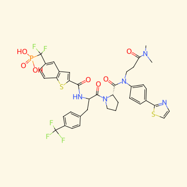 CN(C)C(=O)CCN(C(=O)[C@@H]1CCCN1C(=O)C(Cc1ccc(C(F)(F)F)cc1)NC(=O)c1cc2cc(C(F)(F)P(=O)(O)O)ccc2s1)c1ccc(-c2nccs2)cc1